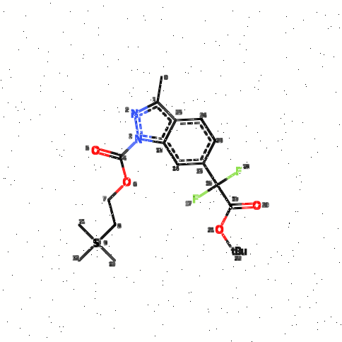 Cc1nn(C(=O)OCC[Si](C)(C)C)c2cc(C(F)(F)C(=O)OC(C)(C)C)ccc12